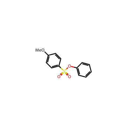 COc1ccc(S(=O)(=O)Oc2ccccc2)cc1